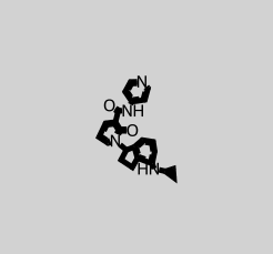 O=C(Nc1ccncc1)c1cccn(C2CCc3c(NC4CC4)cccc32)c1=O